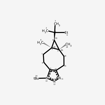 CCC(C)(C)[C@@H]1[C@]2(C)CCc3c(nnn3C(C)(C)C)CC[C@]12C